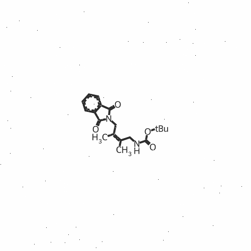 CC(CNC(=O)OC(C)(C)C)=C(C)CN1C(=O)c2ccccc2C1=O